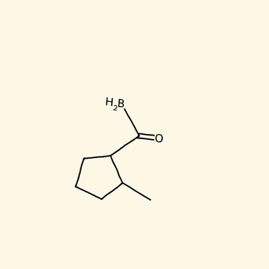 BC(=O)C1CCCC1C